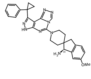 COc1ccc2c(c1)[C@@H](N)C1(CCN(c3nc4[nH]nc(C5(c6ccccc6)CC5)c4c4nncn34)CC1)C2